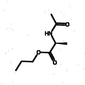 CCCOC(=O)[C@H](C)NC(C)=O